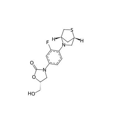 O=C1O[C@@H](CO)CN1c1ccc(N2C[C@@H]3C[C@H]2CS3)c(F)c1